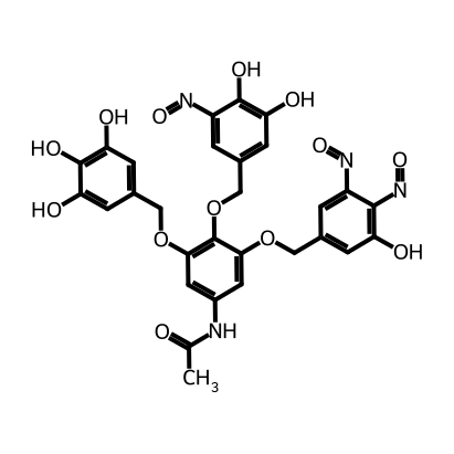 CC(=O)Nc1cc(OCc2cc(O)c(O)c(O)c2)c(OCc2cc(O)c(O)c(N=O)c2)c(OCc2cc(O)c(N=O)c(N=O)c2)c1